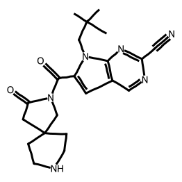 CC(C)(C)Cn1c(C(=O)N2CC3(CCNCC3)CC2=O)cc2cnc(C#N)nc21